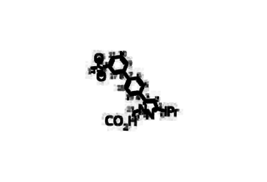 CC(C)c1cc(-c2ccc(-c3cccc(S(C)(=O)=O)c3)cc2)n(CC(=O)O)n1